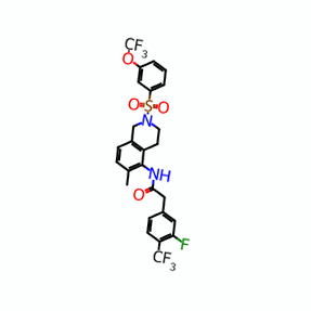 Cc1ccc2c(c1NC(=O)Cc1ccc(C(F)(F)F)c(F)c1)CCN(S(=O)(=O)c1cccc(OC(F)(F)F)c1)C2